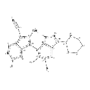 Cc1ncc2c(C#N)c(N)n(-c3c(C)c(F)cc4c3cnn4C3CCCCO3)c2n1